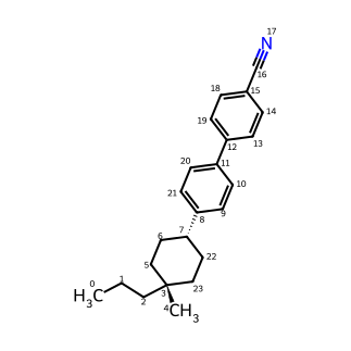 CCC[C@]1(C)CC[C@H](c2ccc(-c3ccc(C#N)cc3)cc2)CC1